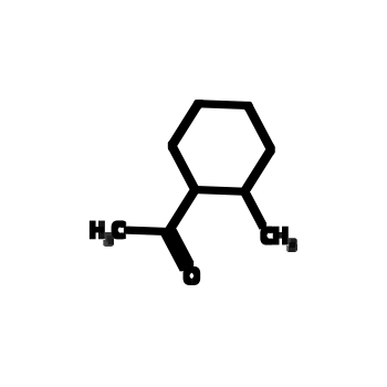 CC(=O)C1CCCCC1C